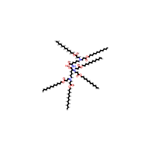 CCCCCCCCCCCCOC(=O)CCN(CCCCC(NC(=O)C(CCCCN(CCC(=O)OCCCCCCCCCCCC)CCC(=O)OCCCCCCCCCCCC)N(CCC(=O)OCCCCCCCCCCCC)CCC(=O)OCCCCCCCCCCCC)C(=O)O)CCC(=O)OCCCCCCCCCCCC